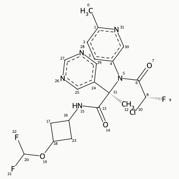 Cc1ccc(N(C(=O)[C@H](F)Cl)[C@@](C)(C(=O)NC2CC(OC(F)F)C2)c2cncnc2)cn1